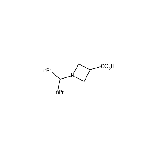 CCCC(CCC)N1CC(C(=O)O)C1